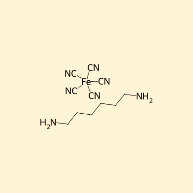 N#[C][Fe]([C]#N)([C]#N)([C]#N)[C]#N.NCCCCCCN